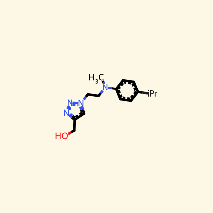 CC(C)c1ccc(N(C)CCn2cc(CO)nn2)cc1